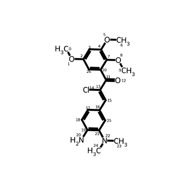 COc1cc(OC)c(OC)c(C(=O)C(Cl)=Cc2ccc(N)c(N(C)C)c2)c1